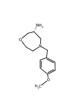 COc1ccc(CN2CCOC[C@H](N)C2)cc1